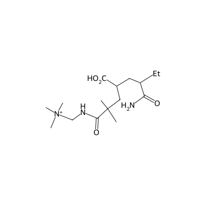 CCC(CC(CC(C)(C)C(=O)NC[N+](C)(C)C)C(=O)O)C(N)=O